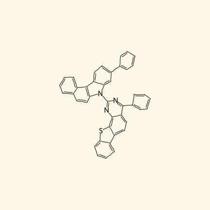 c1ccc(-c2ccc3c4c5ccccc5ccc4n(-c4nc(-c5ccccc5)c5ccc6c7ccccc7sc6c5n4)c3c2)cc1